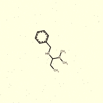 CCC(NCc1ccccc1)N(C)C